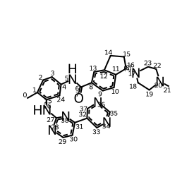 Cc1ccc(NC(=O)c2ccc3c(c2)CC[C@@H]3N2CCN(C)CC2)cc1Nc1nccc(-c2cncnc2)n1